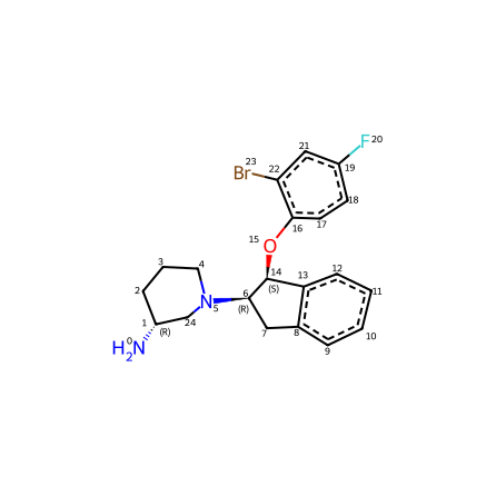 N[C@@H]1CCCN([C@@H]2Cc3ccccc3[C@@H]2Oc2ccc(F)cc2Br)C1